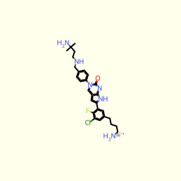 C[C@H](N)CCCc1cc(Cl)c(F)c(-c2cc3cn(-c4ccc(CNCCC(C)(C)N)cc4)c(=O)nc3[nH]2)c1